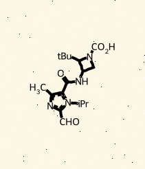 Cc1nc(C=O)n(C(C)C)c1C(=O)NC1CN(C(=O)O)C1C(C)(C)C